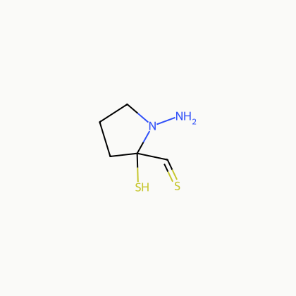 NN1CCCC1(S)C=S